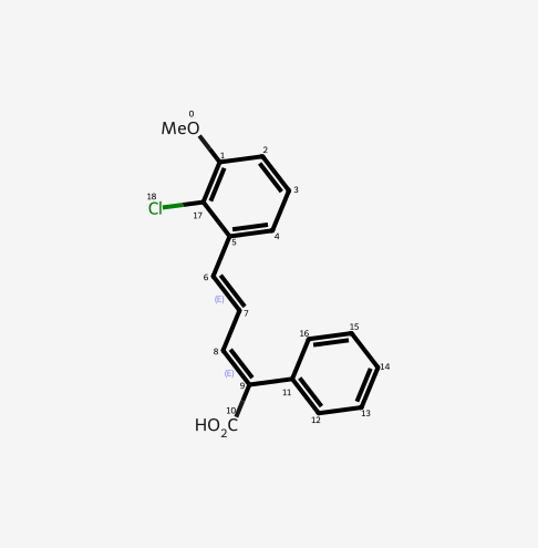 COc1cccc(/C=C/C=C(/C(=O)O)c2ccccc2)c1Cl